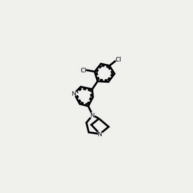 Clc1ccc(-c2cncc(N3CCN4CC3C4)c2)c(Cl)c1